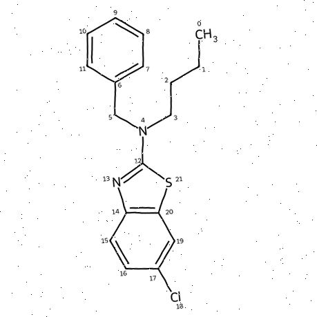 CCCCN(Cc1ccccc1)c1nc2ccc(Cl)cc2s1